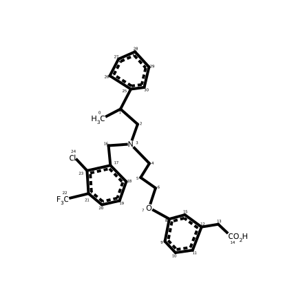 CC(CN(CCCOc1cccc(CC(=O)O)c1)Cc1cccc(C(F)(F)F)c1Cl)c1ccccc1